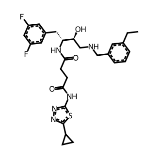 CCc1cccc(CNC[C@H](O)[C@@H](Cc2cc(F)cc(F)c2)NC(=O)CCC(=O)Nc2nnc(C3CC3)s2)c1